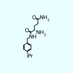 CC(C)c1ccc(CNC(=O)[C@@H](N)CCC(N)=O)cc1